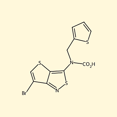 O=C(O)N(Cc1cccs1)c1snc2c(Br)csc12